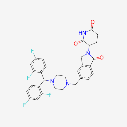 O=C1CCC(N2Cc3cc(CN4CCN(C(c5ccc(F)cc5F)c5ccc(F)cc5F)CC4)ccc3C2=O)C(=O)N1